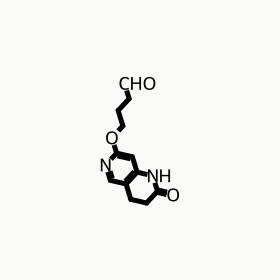 O=CCCCOc1cc2c(cn1)CCC(=O)N2